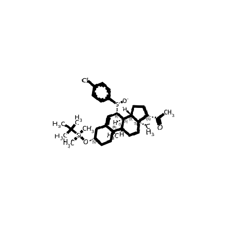 CC(=O)[C@H]1CC[C@H]2[C@@H]3[C@@H]([S+]([O-])c4ccc(Cl)cc4)C=C4C[C@@H](O[Si](C)(C)C(C)(C)C)CC[C@]4(C)[C@H]3CC[C@]12C